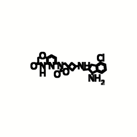 NC1c2cccc(Cl)c2CC1CNC1CC2(C1)CN(c1ccc3c(n1)NC(=O)CO3)C(=O)O2